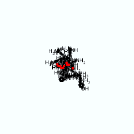 C[C@H](NC(=O)[C@@H](N)Cc1ccc(O)cc1)C(=O)N[C@@H](CCC(N)=O)C(=O)NCC(=O)N[C@@H](Cc1ccccc1)C(=O)N[C@@H](CO)C(=O)N[C@@H](CCCCN)C(=O)N[C@@H](CCCNC(=N)N)C(=O)N[C@@H](CCCCN)C(=O)N[C@@H](CCCNC(=N)N)C(=O)N[C@@H](CCCNC(=N)N)C(=O)N[C@@H](CCCCN)C(=O)N[C@@H](CCCNC(=N)N)C(=O)O